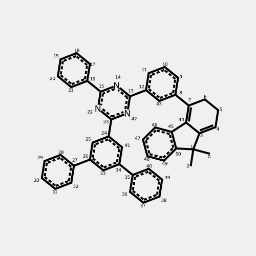 CC1(C)C2=CCCC(c3cccc(-c4nc(-c5ccccc5)nc(-c5cc(-c6ccccc6)cc(-c6ccccc6)c5)n4)c3)=C2c2ccccc21